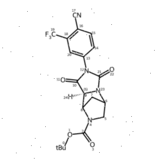 CC(C)(C)OC(=O)N1CC2CC1[C@H]1C(=O)N(c3ccc(C#N)c(C(F)(F)F)c3)C(=O)N21